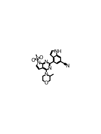 CC1COCCN1c1nc(-c2cc(C#N)cc3[nH]ccc23)nc2c1ccn2S(C)(=O)=O